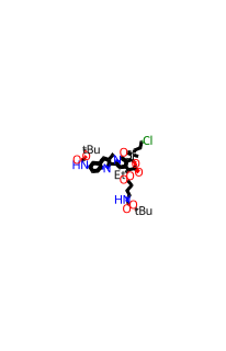 CCC1(OC(=O)CCCNC(=O)OC(C)(C)C)C(=O)OC([Si](C)(C)CCCCl)c2c1cc1n(c2=O)Cc2cc3cc(NC(=O)OC(C)(C)C)ccc3nc2-1